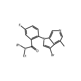 CCN(C(=O)c1cc(F)ccc1-n1cc(Br)c2c(C)cncc21)C(C)C